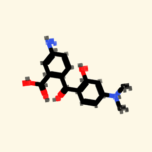 CN(C)c1ccc(C(=O)c2ccc(N)cc2C(=O)O)c(O)c1